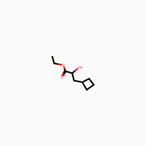 CCOC(=O)C(O)CC1CCC1